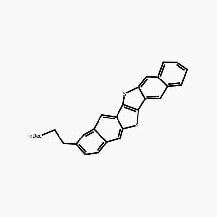 CCCCCCCCCCCCc1ccc2cc3sc4c5cc6ccccc6cc5sc4c3cc2c1